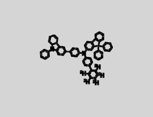 [2H]c1c([2H])c([2H])c(-c2ccc(N(c3ccc(-c4ccc5c(c4)C4C=CC=CC4N5c4ccccc4)cc3)c3ccc4c(c3)C(c3ccccc3)(c3ccccc3)c3ccccc3-4)cc2)c([2H])c1[2H]